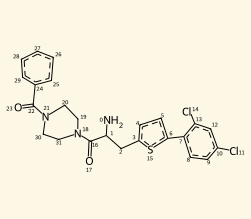 NC(Cc1ccc(-c2ccc(Cl)cc2Cl)s1)C(=O)N1CCN(C(=O)c2ccccc2)CC1